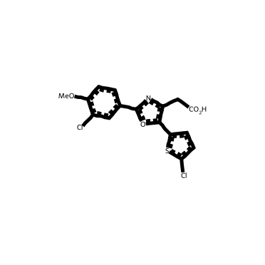 COc1ccc(-c2nc(CC(=O)O)c(-c3ccc(Cl)s3)o2)cc1Cl